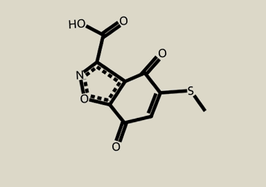 CSC1=CC(=O)c2onc(C(=O)O)c2C1=O